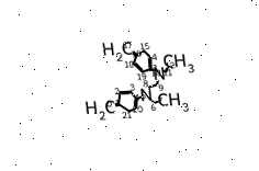 C=C1C=CC(N(CC)CCN(CC)C2=CCC(=C)C=C2)=CC1